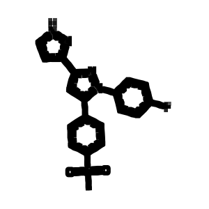 CS(=O)(=O)c1ccc(-c2cc(-c3cc[nH]n3)nn2-c2ccc(F)cc2)cc1